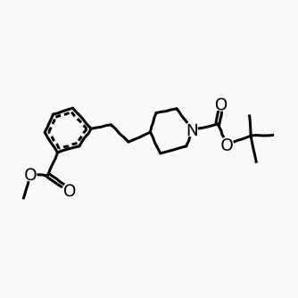 COC(=O)c1cccc(CCC2CCN(C(=O)OC(C)(C)C)CC2)c1